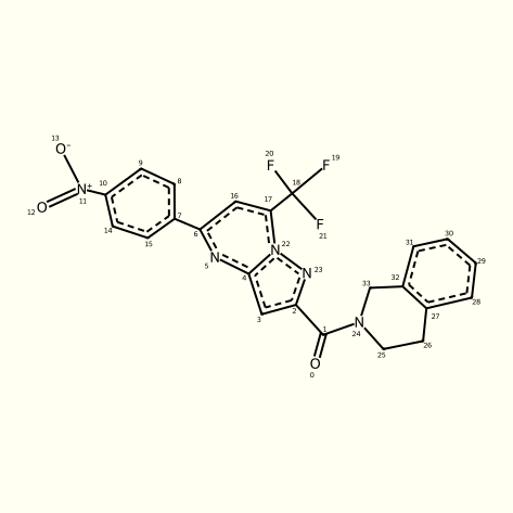 O=C(c1cc2nc(-c3ccc([N+](=O)[O-])cc3)cc(C(F)(F)F)n2n1)N1CCc2ccccc2C1